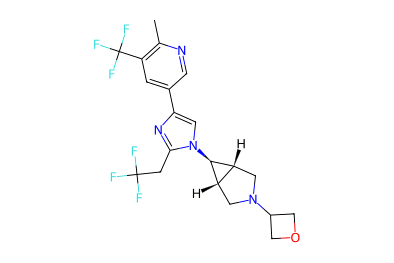 Cc1ncc(-c2cn([C@H]3[C@@H]4CN(C5COC5)C[C@@H]43)c(CC(F)(F)F)n2)cc1C(F)(F)F